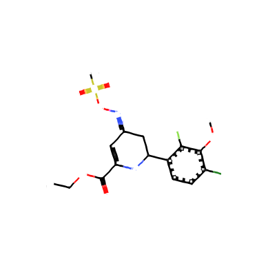 CCOC(=O)C1=C/C(=N\OS(C)(=O)=O)CC(c2ccc(Cl)c(OC)c2F)N1